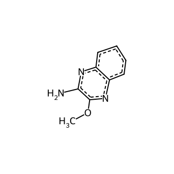 COc1nc2ccccc2nc1N